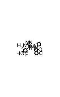 C[C@@H](c1cc2cccc(Cl)c2c(=O)n1-c1ccccc1)n1nc(-c2ccc(O)c(F)c2)c2c(N)ncnc21